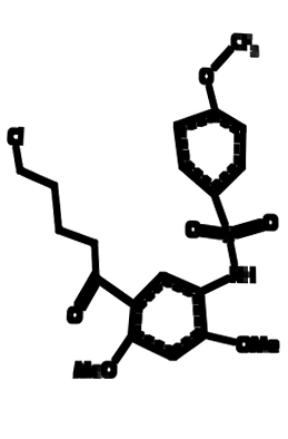 COc1cc(OC)c(C(=O)CCCCCl)cc1NS(=O)(=O)c1ccc(OC(F)(F)F)cc1